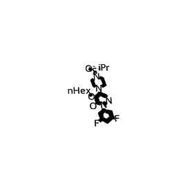 CCCCCCOc1c(N2CCN([S+]([O-])C(C)C)CC2)cnn(-c2cc(F)cc(F)c2)c1=O